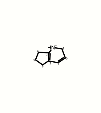 C1=CC2=C(CCC2)NC1